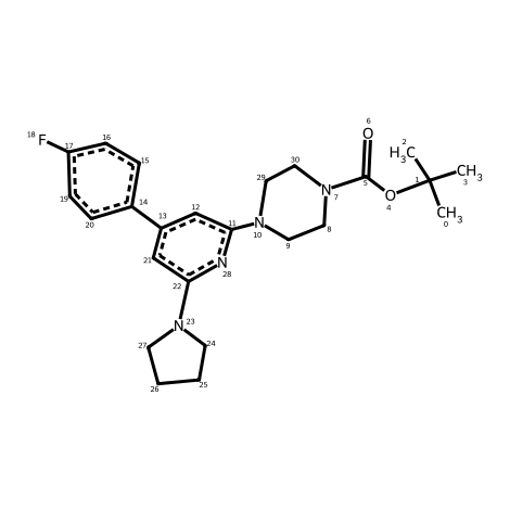 CC(C)(C)OC(=O)N1CCN(c2cc(-c3ccc(F)cc3)cc(N3CCCC3)n2)CC1